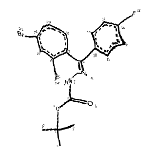 CC(C)(C)OC(=O)NN=C(c1ccc(F)cc1)c1ccc(Br)cc1F